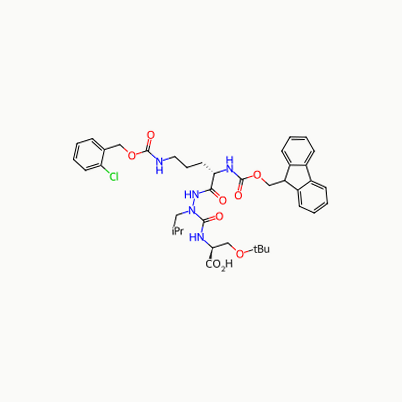 CC(C)CN(NC(=O)[C@H](CCCNC(=O)OCc1ccccc1Cl)NC(=O)OCC1c2ccccc2-c2ccccc21)C(=O)N[C@@H](COC(C)(C)C)C(=O)O